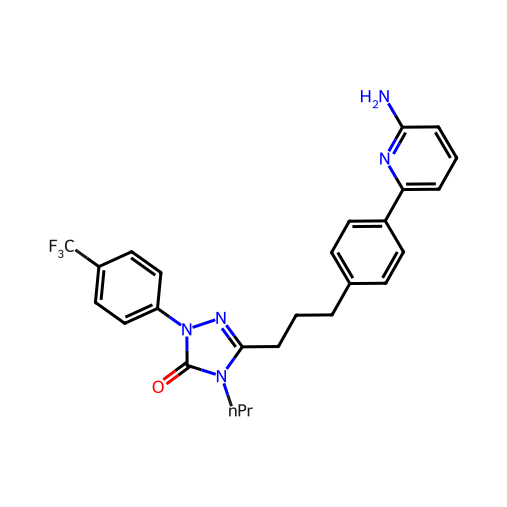 CCCn1c(CCCc2ccc(-c3cccc(N)n3)cc2)nn(-c2ccc(C(F)(F)F)cc2)c1=O